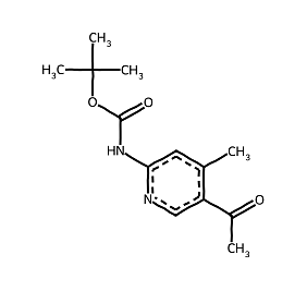 CC(=O)c1cnc(NC(=O)OC(C)(C)C)cc1C